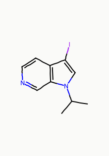 CC(C)n1cc(I)c2ccncc21